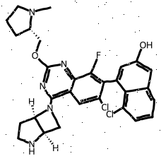 CN1CCC[C@H]1COc1nc(N2C[C@H]3NCC[C@H]32)c2cc(Cl)c(-c3cc(O)cc4cccc(Cl)c34)c(F)c2n1